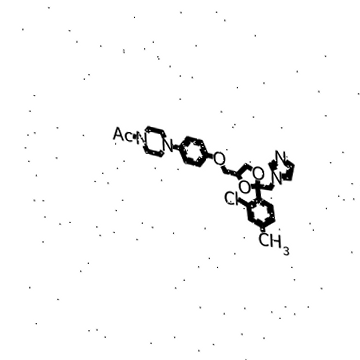 CC(=O)N1CCN(c2ccc(OCC3COC(Cn4ccnc4)(c4ccc(C)cc4Cl)O3)cc2)CC1